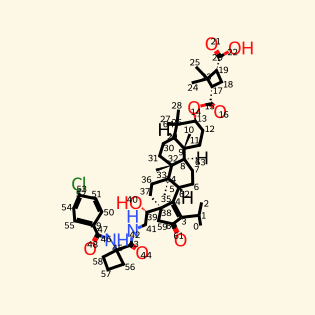 CC(C)C1=C2[C@H]3CC[C@@H]4[C@@]5(C)CC[C@H](OC(=O)[C@H]6C[C@@H](C(=O)O)C6(C)C)C(C)(C)[C@@H]5CC[C@@]4(C)[C@]3(C)CC[C@@]2([C@@H](O)CNC(=O)C2(NC(=O)c3ccc(Cl)cc3)CCC2)CC1=O